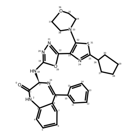 O=C1Nc2ccccc2C(c2ccccc2)=N[C@@H]1Nc1nnc(-c2nc(C3CCCC3)sc2N2CCOCC2)o1